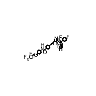 O=C(Nc1ccc(OCC(F)(F)C(F)(F)F)cc1)c1ccc(C#Cc2cnn(CC(O)(Cn3cncn3)c3ccc(F)cc3F)c2)cc1